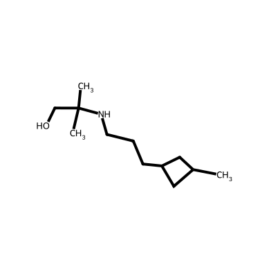 CC1CC(CCCNC(C)(C)CO)C1